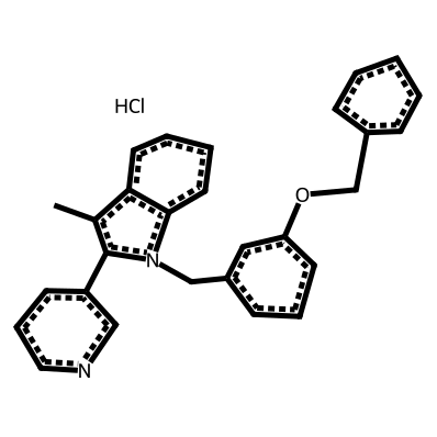 Cc1c(-c2cccnc2)n(Cc2cccc(OCc3ccccc3)c2)c2ccccc12.Cl